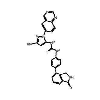 CC(C)(C)c1cc(NC(=O)Nc2ccc(-c3cccc4c3CNC4=O)cc2)n(-c2ccc3ncncc3c2)n1